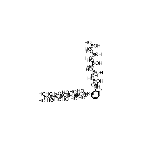 NC1C=CC=CC=C1.OB(O)O.OB(O)O.OB(O)O.OB(O)O.OB(O)O.OB(O)O.OB(O)O.OB(O)O.OB(O)O.OB(O)O.OB(O)O